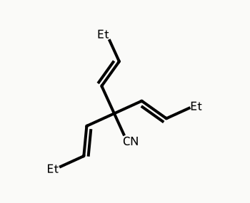 CC/C=C/C(C#N)(/C=C/CC)/C=C/CC